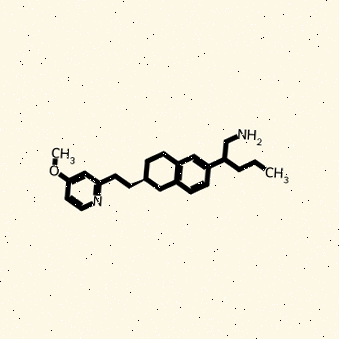 CCCC(CN)c1ccc2c(c1)CC[C@H](CCc1cc(OC)ccn1)C2